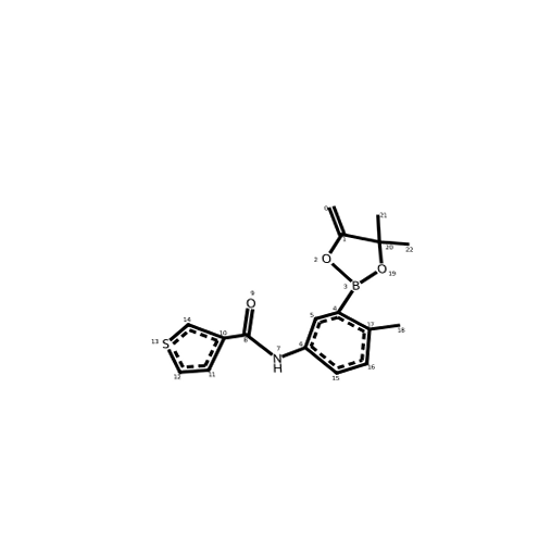 C=C1OB(c2cc(NC(=O)c3ccsc3)ccc2C)OC1(C)C